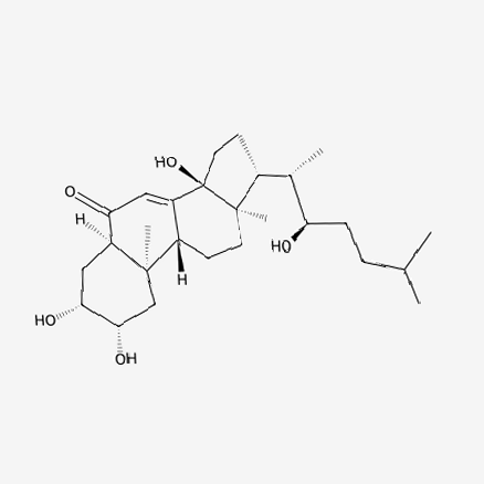 C[C](C)CC[C@@H](O)[C@@H](C)[C@H]1CC[C@@]2(O)C3=CC(=O)[C@@H]4C[C@@H](O)[C@@H](O)C[C@]4(C)[C@H]3CC[C@]12C